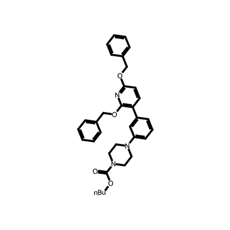 CCCCOC(=O)N1CCN(c2cccc(-c3ccc(OCc4ccccc4)nc3OCc3ccccc3)c2)CC1